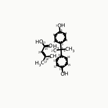 CC(C)(c1ccc(O)cc1)c1ccc(O)cc1.CC(C)=CC(=O)O